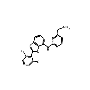 NCc1ccnc(Nc2nccc3nc(-c4c(Cl)cccc4Cl)sc23)n1